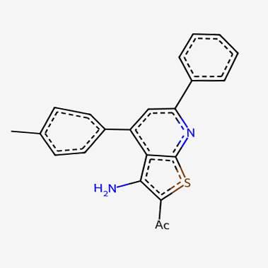 CC(=O)c1sc2nc(-c3ccccc3)cc(-c3ccc(C)cc3)c2c1N